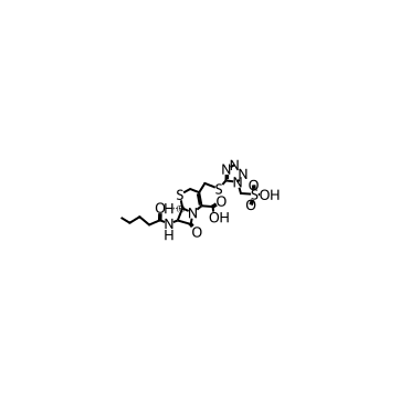 CCCCC(=O)NC1C(=O)N2C(C(=O)O)=C(CSc3nnnn3CS(=O)(=O)O)CS[C@H]12